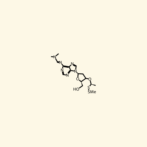 CSS[C@H](C)OC1C[C@H](n2cnc3c(/N=C/N(C)C)ncnc32)O[C@@H]1CO